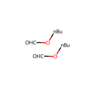 CCCCOC=O.CCCCOC=O